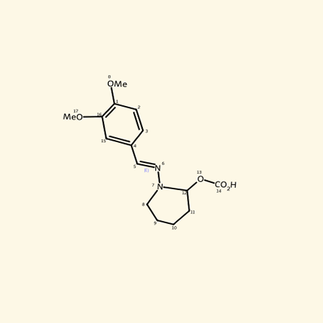 COc1ccc(/C=N/N2CCCCC2OC(=O)O)cc1OC